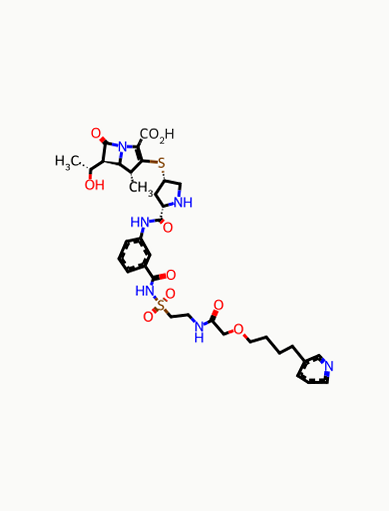 C[C@H]1C(S[C@@H]2CN[C@H](C(=O)Nc3cccc(C(=O)NS(=O)(=O)CCNC(=O)COCCCCc4cccnc4)c3)C2)=C(C(=O)O)N2C(=O)[C@H]([C@@H](C)O)C12